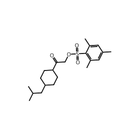 Cc1cc(C)c(S(=O)(=O)OCC(=O)C2CCC(CC(C)C)CC2)c(C)c1